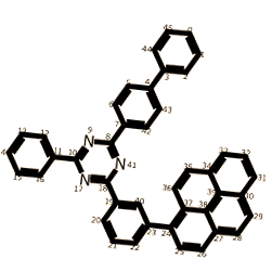 c1ccc(-c2ccc(-c3nc(-c4ccccc4)nc(-c4cccc(-c5ccc6ccc7cccc8ccc5c6c78)c4)n3)cc2)cc1